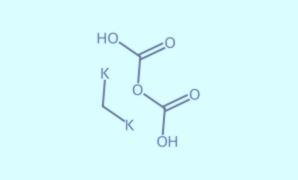 O=C(O)OC(=O)O.[K][CH2][K]